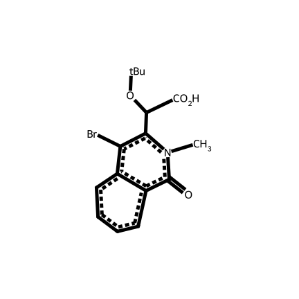 Cn1c(C(OC(C)(C)C)C(=O)O)c(Br)c2ccccc2c1=O